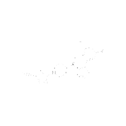 N#Cc1coc(N2CCC(C(=O)N3N=CCC3c3cc(F)cc(F)c3)CC2)n1